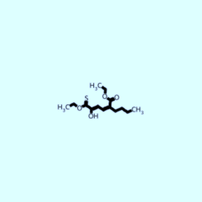 CCCCC(=CC=C(O)C(=S)OCC)C(=O)OCC